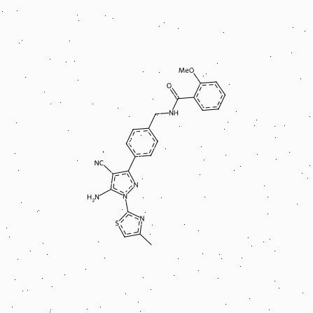 COc1ccccc1C(=O)NCc1ccc(-c2nn(-c3nc(C)cs3)c(N)c2C#N)cc1